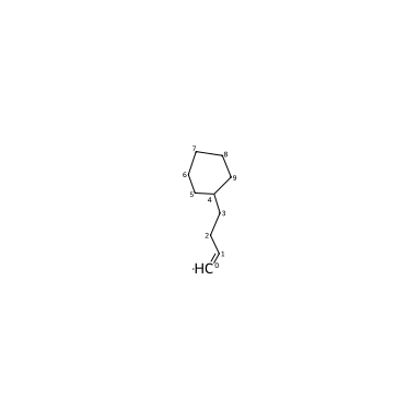 [CH]=CCCC1CCCCC1